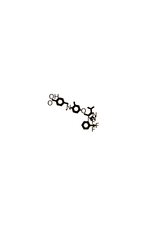 Cc1cc(OCc2c(C(C)C)nnn2-c2ccccc2C(F)(F)F)ccc1N(C)Cc1ccc(C(=O)O)cc1